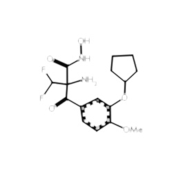 COc1ccc(C(=O)C(N)(C(=O)NO)C(F)F)cc1OC1CCCC1